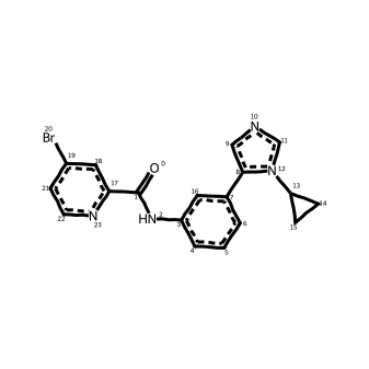 O=C(Nc1cccc(-c2cncn2C2CC2)c1)c1cc(Br)ccn1